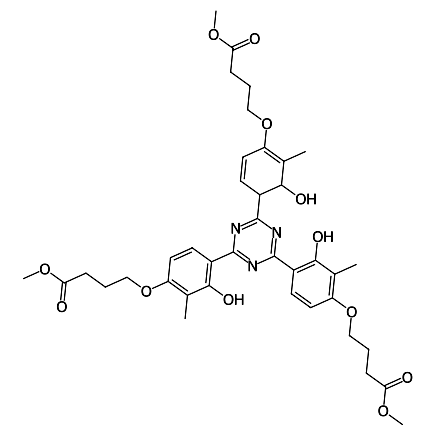 COC(=O)CCCOC1=C(C)C(O)C(c2nc(-c3ccc(OCCCC(=O)OC)c(C)c3O)nc(-c3ccc(OCCCC(=O)OC)c(C)c3O)n2)C=C1